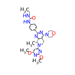 CCNC(=O)Nc1ccc(-c2nc3c(c(N4CCOCC4)n2)CCN(c2cc(OC)nc(OC)n2)C3C)cc1